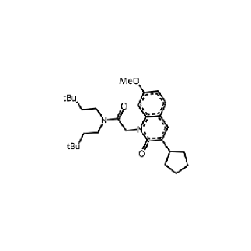 COc1ccc2cc(C3CCCC3)c(=O)n(CC(=O)N(CCC(C)(C)C)CCC(C)(C)C)c2c1